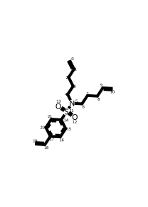 C=CCCCN(CCCC=C)S(=O)(=O)c1ccc(C=C)cc1